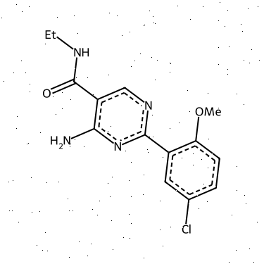 CCNC(=O)c1cnc(-c2cc(Cl)ccc2OC)nc1N